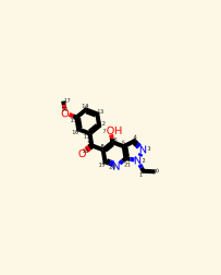 CCn1ncc2c(O)c(C(=O)c3cccc(OC)c3)cnc21